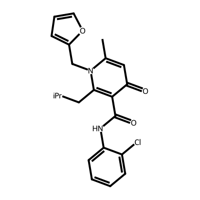 Cc1cc(=O)c(C(=O)Nc2ccccc2Cl)c(CC(C)C)n1Cc1ccco1